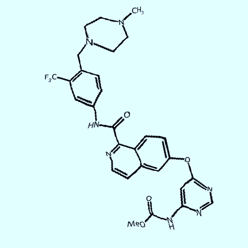 COC(=O)Nc1cc(Oc2ccc3c(C(=O)Nc4ccc(CN5CCN(C)CC5)c(C(F)(F)F)c4)nccc3c2)ncn1